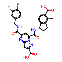 Cc1c(C(=O)O)ccc2c1CC[C@@H]2NC(=O)c1cc(C(=O)NCc2ccc(F)c(F)c2)nc2cc(C(=O)O)nn12